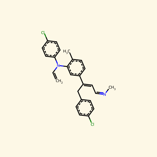 C=CN(c1ccc(Cl)cc1)c1cc(/C(=C/C=N\C)Cc2ccc(Cl)cc2)ccc1C